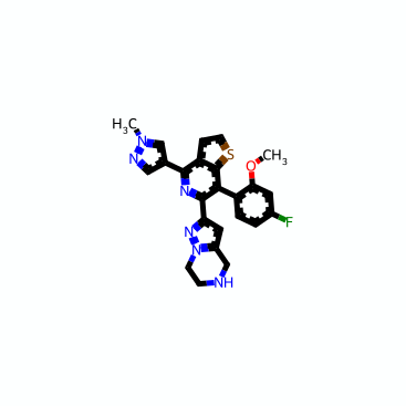 COc1cc(F)ccc1-c1c(-c2cc3n(n2)CCNC3)nc(-c2cnn(C)c2)c2ccsc12